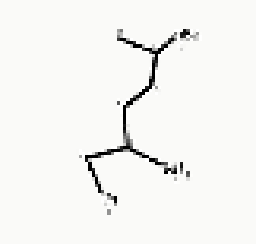 CCCCC(C)CCC(N)CC(C)C